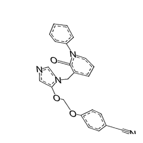 N#Cc1ccc(OCOc2cncn2Cc2cccn(-c3ccccc3)c2=O)cc1